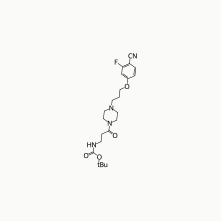 CC(C)(C)OC(=O)NCCC(=O)N1CCN(CCCOc2ccc(C#N)c(F)c2)CC1